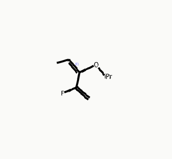 C=C(F)/C(=C\C)OC(C)C